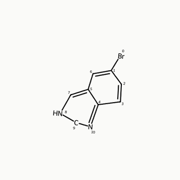 Brc1ccc2c(c1)=CNCN=2